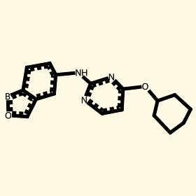 b1occ2cc(Nc3nccc(OC4CCCCC4)n3)ccc12